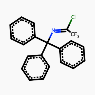 FC(F)(F)C(Cl)=NC(c1ccccc1)(c1ccccc1)c1ccccc1